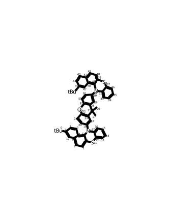 CC(C)(C)c1ccc2c3c(ccc2c1)Sc1ccccc1N3c1ccc2c(c1)C(C)(C)c1cc(N3c4ccccc4Sc4ccc5ccc(C(C)(C)C)cc5c43)ccc1O2